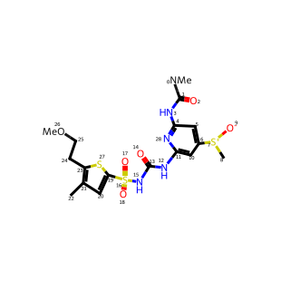 CNC(=O)Nc1cc([S+](C)[O-])cc(NC(=O)NS(=O)(=O)c2cc(C)c(CCOC)s2)n1